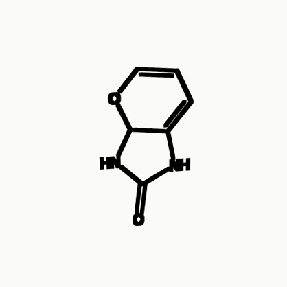 O=C1NC2=CC=COC2N1